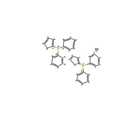 C1=CCC(P(c2ccccc2)c2ccccc2)=C1.C1=CCC(P(c2ccccc2)c2ccccc2)=C1.[Fe]